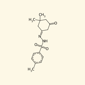 Cc1ccc(S(=O)(=O)NN=C2CC(=O)CC(C)(C)C2)cc1